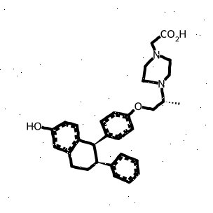 C[C@H](COc1ccc([C@@H]2c3ccc(O)cc3CC[C@@H]2c2ccccc2)cc1)N1CCN(CC(=O)O)CC1